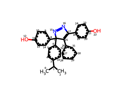 CC(C)c1ccc(C2(c3ccc(O)cc3)N=NC(c3ccc(O)cc3)=C2c2ccccc2)cc1